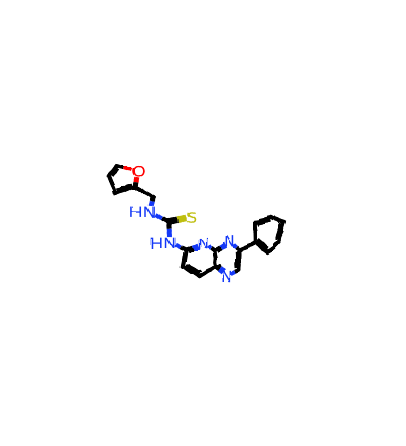 S=C(NCc1ccco1)Nc1ccc2ncc(-c3ccccc3)nc2n1